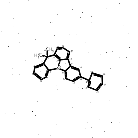 CC1(C)c2ccccc2-n2c3ccc(-c4ccccc4)cc3c3cccc1c32